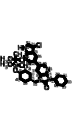 CC(C)(C)[Si](C)(C)O[C@H]1CC[C@@H](Cn2c(=O)n(C3=CCCCC3)c3ncc(-c4cnc5[nH]cc(Cl)c5c4)cc32)CC1